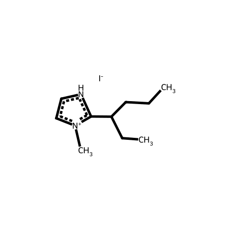 CCCC(CC)c1[nH]cc[n+]1C.[I-]